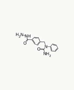 NNC(=O)c1ccc(CN(C(N)=O)c2ccccc2)cc1